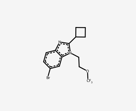 FC(F)(F)OCCn1c(C2CCC2)nc2ccc(Br)cc21